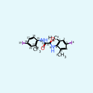 Cc1cc(I)cc(C)c1NC(=O)C(=O)Nc1ccc(I)cc1C(F)(F)F